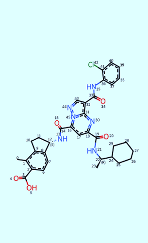 Cc1c(C(=O)O)ccc2c1CC[C@@H]2NC(=O)c1cc(C(=O)N[C@H](C)C2CCCCC2)nc2c(C(=O)Nc3ccccc3Cl)cnn12